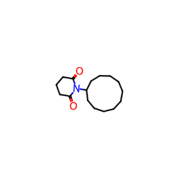 O=C1CCCC(=O)N1C1CCCCCCCCCC1